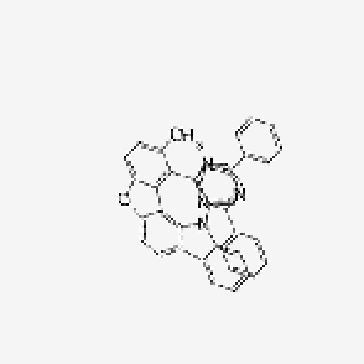 Cc1ccc2oc3ccc4c5ccccc5n(-c5ccccc5)c4c3c2c1-c1nc(-c2ccccc2)nc(-c2ccccc2)n1